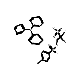 O=S(=O)(OCC(F)(F)S(=O)(=O)[O-])c1ccc(I)cc1.c1ccc([S+](c2ccccc2)c2ccccc2)cc1